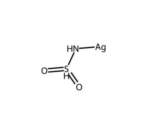 O=[SH](=O)[NH][Ag]